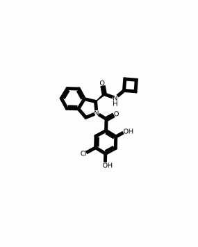 O=C(NC1CCC1)[C@@H]1c2ccccc2CN1C(=O)c1cc(Cl)c(O)cc1O